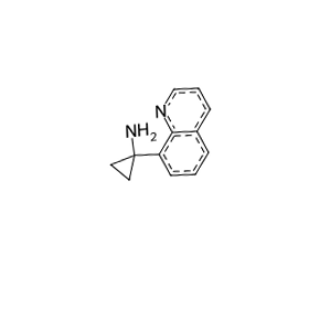 NC1(c2cccc3cccnc23)CC1